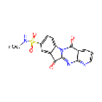 CCCCCCCCNS(=O)(=O)c1ccc2c(c1)C(=O)c1nc3ncccc3c(=O)n1-2